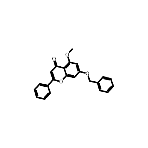 COc1cc(OCc2ccccc2)cc2oc(-c3ccccc3)cc(=O)c12